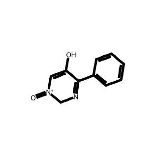 O=[N+]1C=C(O)C(c2ccccc2)=NC1